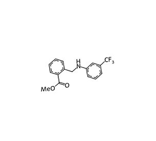 COC(=O)c1ccccc1CNc1cccc(C(F)(F)F)c1